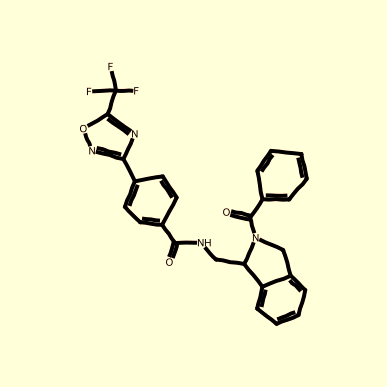 O=C(NCC1c2ccccc2CN1C(=O)c1ccccc1)c1ccc(-c2noc(C(F)(F)F)n2)cc1